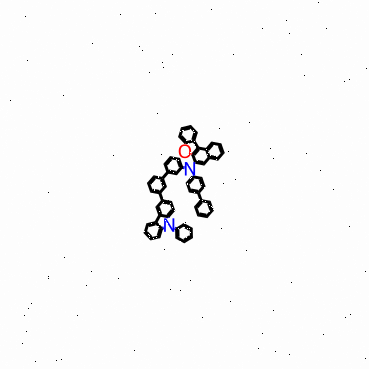 c1ccc(-c2ccc(N(c3cccc(-c4cccc(-c5ccc6c(c5)c5ccccc5n6-c5ccccc5)c4)c3)c3cc4ccccc4c4c3oc3ccccc34)cc2)cc1